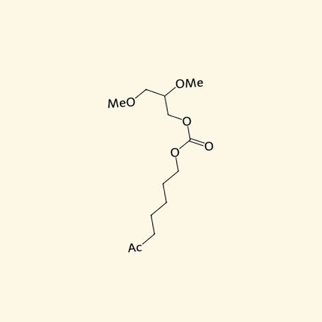 COCC(COC(=O)OCCCCCC(C)=O)OC